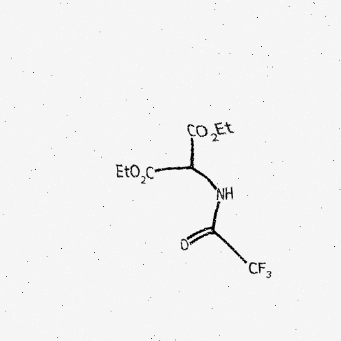 CCOC(=O)C(NC(=O)C(F)(F)F)C(=O)OCC